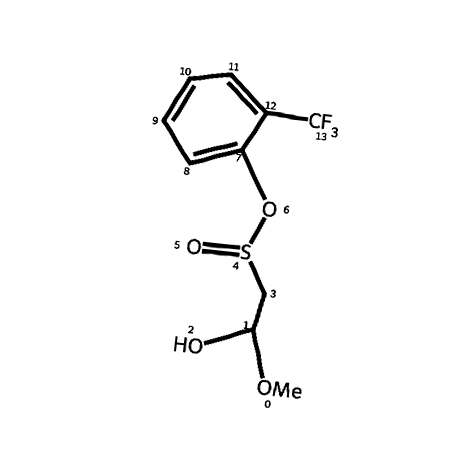 COC(O)CS(=O)Oc1ccccc1C(F)(F)F